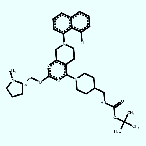 CN1CCC[C@H]1COc1nc2c(c(N3CCC(CNC(=O)OC(C)(C)C)CC3)n1)CCN(c1cccc3cccc(Cl)c13)C2